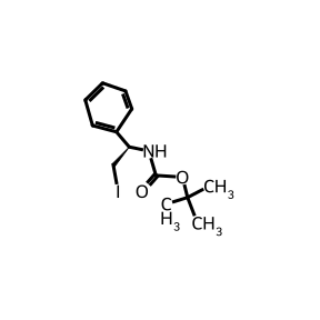 CC(C)(C)OC(=O)N[C@@H](CI)c1ccccc1